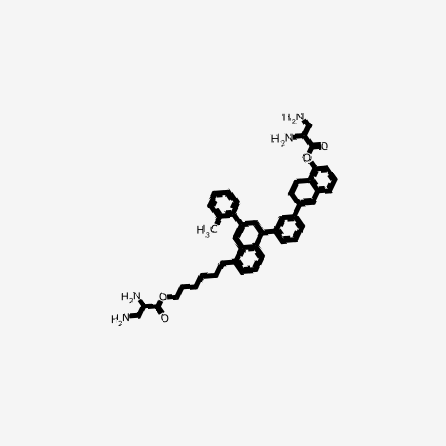 Cc1ccccc1C1=Cc2c(CCCCCCOC(=O)C(N)CN)cccc2C(c2cccc(C3=Cc4cccc(OC(=O)C(N)CN)c4CC3)c2)C1